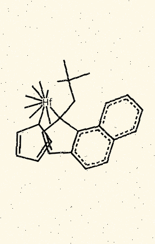 CC(C)(C)C[C]1([Hf]([CH3])([CH3])([CH3])([CH3])([CH3])([CH3])([CH3])[CH]2C=CC=C2)C=Cc2ccc3ccccc3c21